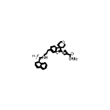 COC(=O)C1CN(C(=O)C2(c3ccc(CCCN[C@H](C)c4cccc5ccccc45)cc3)CCOCC2)C1